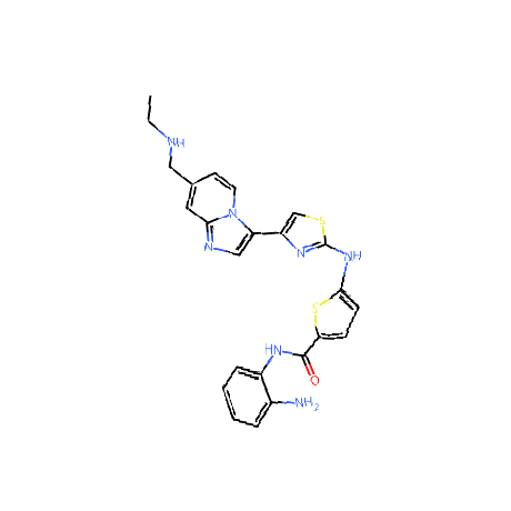 CCNCc1ccn2c(-c3csc(Nc4ccc(C(=O)Nc5ccccc5N)s4)n3)cnc2c1